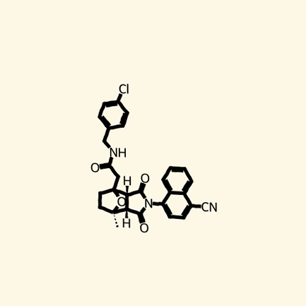 C[C@]12CCC(CC(=O)NCc3ccc(Cl)cc3)(O1)[C@@H]1C(=O)N(c3ccc(C#N)c4ccccc34)C(=O)[C@@H]12